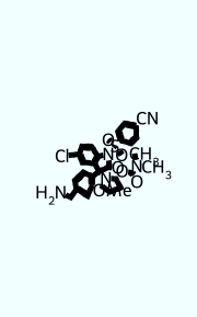 COc1cc(CN)ccc1C1(N2CCC[C@@H]2OC(=O)N(C)C)C(=O)N(S(=O)(=O)c2ccc(C#N)cc2)c2ccc(Cl)cc21